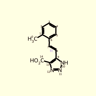 Cc1ccccc1/C=C/c1[nH]nnc1C(=O)O